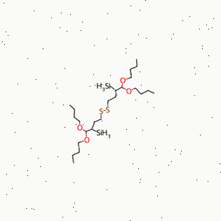 CCCCOC(OCCCC)C([SiH3])CCSSCCC([SiH3])C(OCCCC)OCCCC